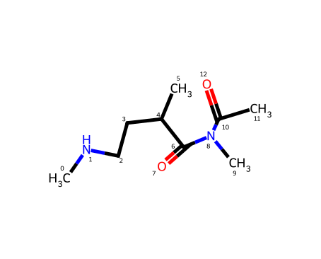 CNCCC(C)C(=O)N(C)C(C)=O